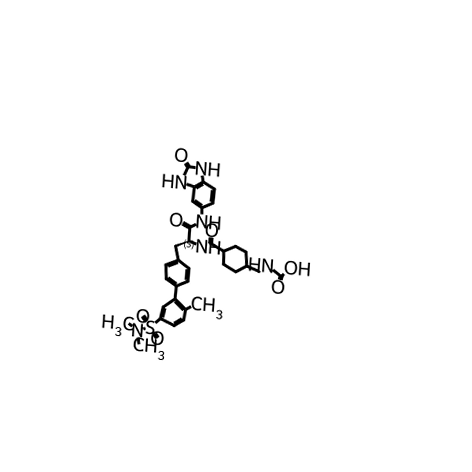 Cc1ccc(S(=O)(=O)N(C)C)cc1-c1ccc(C[C@H](NC(=O)C2CCC(CNC(=O)O)CC2)C(=O)Nc2ccc3[nH]c(=O)[nH]c3c2)cc1